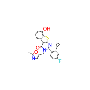 Cc1ncc(Cn2c(-c3ccc(F)cc3C3CC3)nc3sc4c(O)cccc4c3c2=O)o1